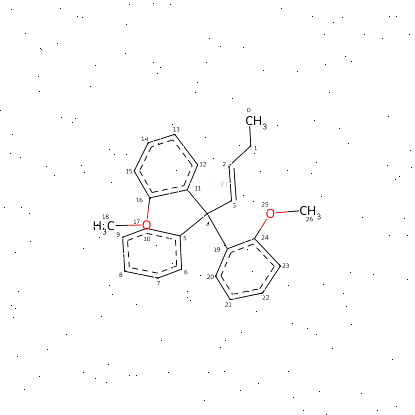 CC/C=C/C(c1ccccc1)(c1ccccc1OC)c1ccccc1OC